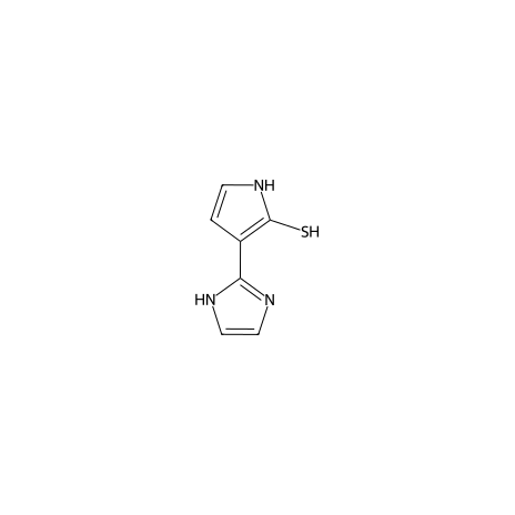 Sc1[nH]ccc1-c1ncc[nH]1